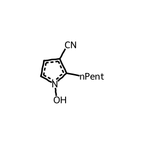 CCCCCc1c(C#N)ccn1O